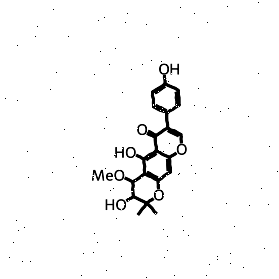 COC1c2c(cc3occ(-c4ccc(O)cc4)c(=O)c3c2O)OC(C)(C)C1O